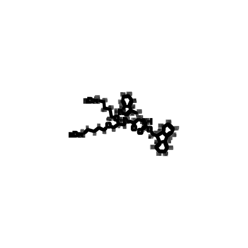 CCCCCCCCCCCCCCOCC(CNC(=O)[C@H](Cc1c[nH]c2ccccc12)NC(=O)OCC1c2ccccc2-c2ccccc21)OCCCCCCCCCCCCCC